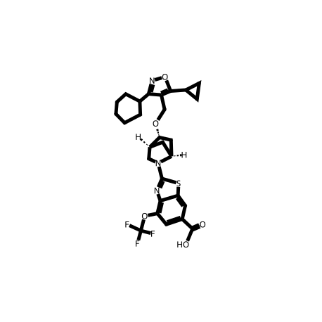 O=C(O)c1cc(OC(F)(F)F)c2nc(N3C[C@@H]4C[C@H]3C[C@H]4OCc3c(C4CCCCC4)noc3C3CC3)sc2c1